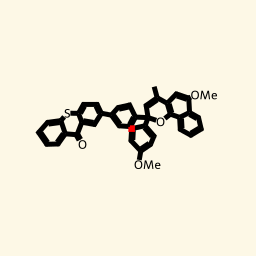 COc1ccc(C2(c3ccc(-c4ccc5sc6ccccc6c(=O)c5c4)cc3)C=C(C)c3cc(OC)c4ccccc4c3O2)cc1